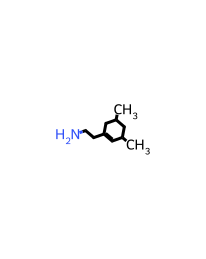 CC1C=C(CCN)CC(C)C1